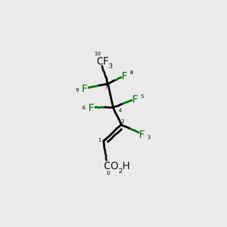 O=C(O)C=C(F)C(F)(F)C(F)(F)C(F)(F)F